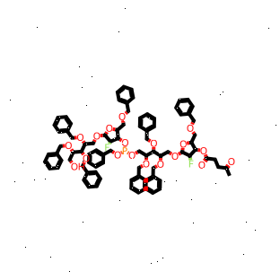 CC(=O)CCC(=O)OC1C(COCc2ccccc2)OC(OCC(OCc2ccccc2)C(OCc2ccccc2)C(COP(OCc2ccccc2)OC2C(COCc3ccccc3)OC(OCC(OCc3ccccc3)C(OCc3ccccc3)C(CO)OCc3ccccc3)C2F)OCc2ccccc2)C1F